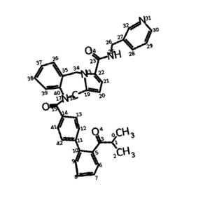 CC(C)C(=O)c1ccccc1-c1ccc(C(=O)N2Cc3ccc(C(=O)NCc4cccnc4)n3Cc3ccccc32)cc1